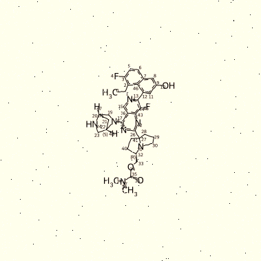 CCc1c(F)ccc2cc(O)cc(-c3ncc4c(N5C[C@@H]6C[C@H]5CN6)nc(C56CCCN5[C@@H](COC(=O)N(C)C)CC6)nc4c3F)c12